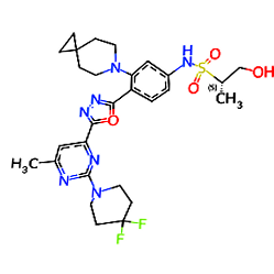 Cc1cc(-c2nnc(-c3ccc(NS(=O)(=O)[C@@H](C)CO)cc3N3CCC4(CC3)CC4)o2)nc(N2CCC(F)(F)CC2)n1